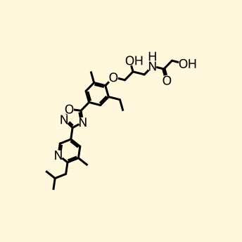 CCc1cc(-c2nc(-c3cnc(CC(C)C)c(C)c3)no2)cc(C)c1OCC(O)CNC(=O)CO